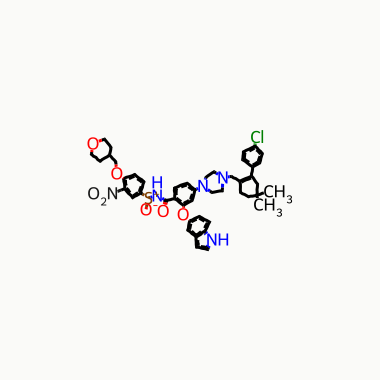 CC1(C)CCC(CN2CCN(c3ccc(C(=O)N[S+]([O-])c4ccc(OCC5CCOCC5)c([N+](=O)[O-])c4)c(Oc4ccc5[nH]ccc5c4)c3)CC2)=C(c2ccc(Cl)cc2)C1